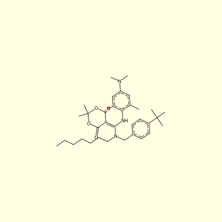 CCCCCCCN(Cc1ccc(C(C)(C)C)cc1)C(Nc1c(C)cc(N(C)C)cc1C)=C1C(=O)OC(C)(C)OC1=O